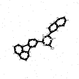 Clc1nc(-c2ccc3c(c2)-c2cccc4cccc-3c24)nc(-c2ccc3ccccc3c2)n1